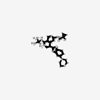 BC(B)(B)Nc1ncc(-c2nc3cc(N4CCOCC4)ccc3o2)c2cc(NC(=O)C3(F)CC3)ncc12